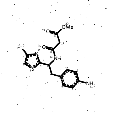 CCc1csc(C(Cc2ccc(N)cc2)NC(=O)CC(=O)OC)n1